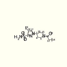 NS(=O)(=O)c1nn(C2CCN(C(=O)CI)CC2)cc1I